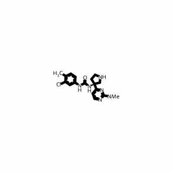 CNc1nccc([C@]2(NC(=O)Nc3ccc(C)c(Cl)c3)CCNC2)n1